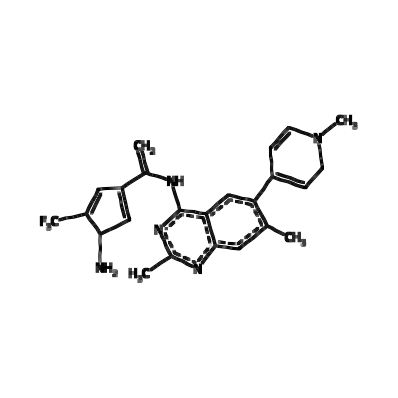 C=C(Nc1nc(C)nc2cc(C)c(C3=CCN(C)C=C3)cc12)C1=CC(N)C(C(F)(F)F)=C1